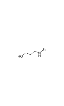 CCNCCCO